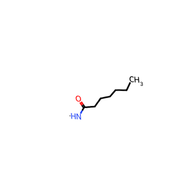 CCCCCCC([NH])=O